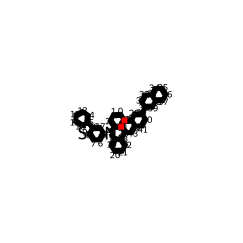 c1ccc(N(c2ccc3sc4ccccc4c3c2)c2ccccc2-c2ccc3cc(-c4ccc5ccccc5c4)ccc3c2)cc1